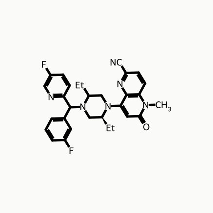 CCC1CN(c2cc(=O)n(C)c3ccc(C#N)nc23)[C@@H](CC)CN1C(c1cccc(F)c1)c1ccc(F)cn1